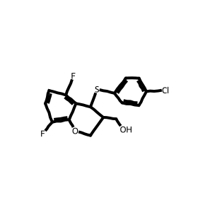 OCC1COc2c(F)ccc(F)c2C1Sc1ccc(Cl)cc1